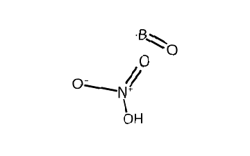 O=[N+]([O-])O.[B]=O